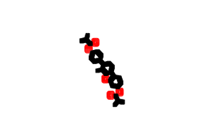 C=C(C)C(=O)Oc1ccc(-c2ccc3c(oc4cc(OC(=O)C(=C)C)ccc43)c2C)cc1